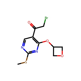 CSc1ncc(C(=O)CBr)c(OC2COC2)n1